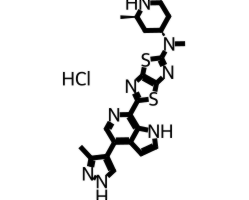 Cc1n[nH]cc1-c1cnc(-c2nc3sc(N(C)[C@H]4CCN[C@H](C)C4)nc3s2)c2[nH]ccc12.Cl